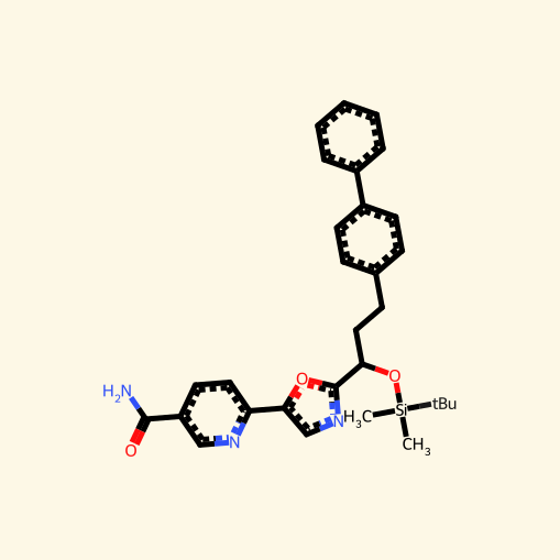 CC(C)(C)[Si](C)(C)OC(CCc1ccc(-c2ccccc2)cc1)c1ncc(-c2ccc(C(N)=O)cn2)o1